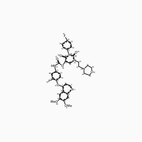 COc1cc2nccc(Oc3ccc(NC(=O)Oc4cn(CCN5CCOCC5)c(=O)n(-c5ccc(F)cc5)c4=O)cc3F)c2cc1OC